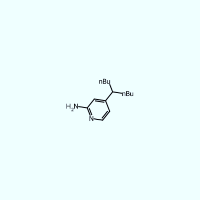 CCCCC(CCCC)c1ccnc(N)c1